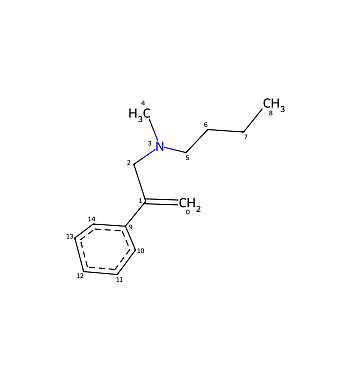 C=C(CN(C)CCCC)c1ccccc1